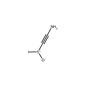 NC#C[S+]([O-])I